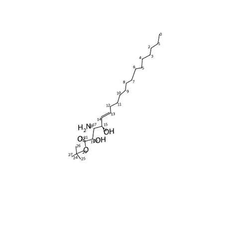 CCCCCCCCCCCCC/C=C/[C@@H](O)[C@@H](N)C(O)C(=O)OC(C)(C)C